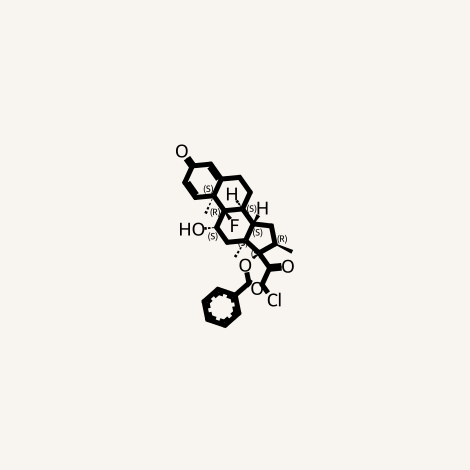 C[C@@H]1C[C@H]2[C@@H]3CCC4=CC(=O)C=C[C@]4(C)[C@@]3(F)[C@@H](O)C[C@]2(C)[C@]1(OC(=O)c1ccccc1)C(=O)CCl